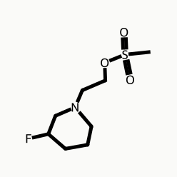 CS(=O)(=O)OCCN1CCCC(F)C1